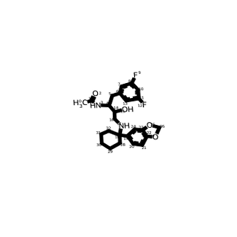 CC(=O)NC(Cc1cc(F)cc(F)c1)C(O)CNC1(c2ccc3c(c2)OCO3)CCCCC1